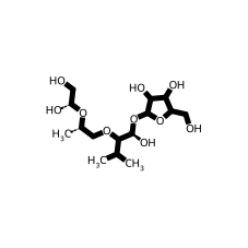 CC(C)C(OC[C@H](C)O[C@H](O)CO)[C@H](O)OC1OC(CO)C(O)C1O